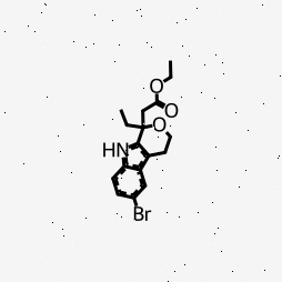 CCOC(=O)CC1(CC)OCCc2c1[nH]c1ccc(Br)cc21